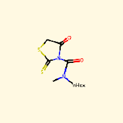 CCCCCCN(C)C(=O)N1C(=O)CSC1=S